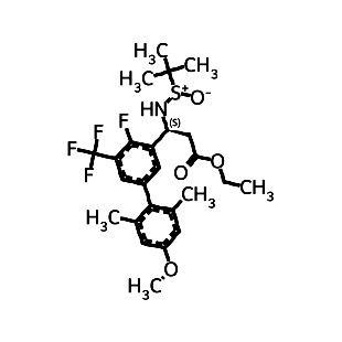 CCOC(=O)C[C@H](N[S+]([O-])C(C)(C)C)c1cc(-c2c(C)cc(OC)cc2C)cc(C(F)(F)F)c1F